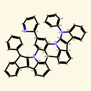 c1ccc(C2c3ccccc3-c3c2n2c4c(cccc34)B3c4c-2cc(-c2ccccn2)cc4-n2c4c3cccc4c3c4ccccc4n(-c4ccccc4)c32)cc1